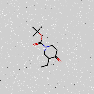 [CH2]CC1CN(C(=O)OC(C)(C)C)CCC1=O